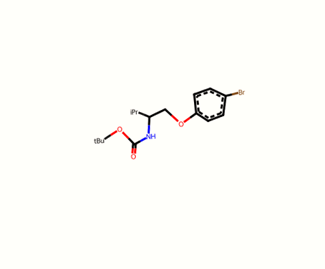 CC(C)C(COc1ccc(Br)cc1)NC(=O)OC(C)(C)C